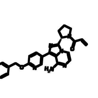 C=CC(=O)N1CCC[C@H]1c1nc(-c2ccc(OCc3ccccc3)nc2)c2c(N)nccn12